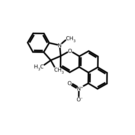 CN1c2ccccc2C(C)(C)C12C=Cc1c(ccc3cccc([N+](=O)[O-])c13)O2